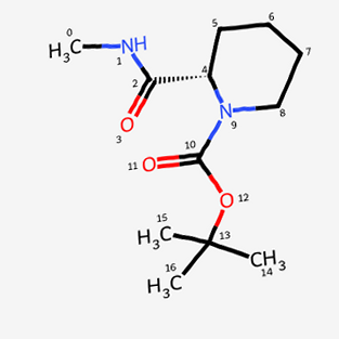 CNC(=O)[C@@H]1CCCCN1C(=O)OC(C)(C)C